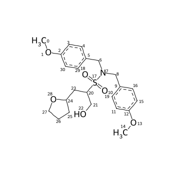 COc1ccc(CN(Cc2ccc(OC)cc2)S(=O)(=O)C(CO)CC2CCCO2)cc1